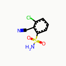 N#Cc1c(Cl)cccc1S(N)(=O)=O